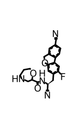 N#Cc1ccc2c(c1)COc1cc(C[C@@H](C#N)NC(=O)C3CNCCCO3)c(F)cc1-2